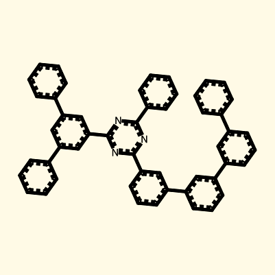 c1ccc(-c2cccc(-c3cccc(-c4cccc(-c5nc(-c6ccccc6)nc(-c6cc(-c7ccccc7)cc(-c7ccccc7)c6)n5)c4)c3)c2)cc1